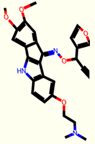 C#CC(ON=C1c2cc(OC)c(OC)cc2-c2[nH]c3ccc(OCCN(C)C)cc3c21)c1ccoc1